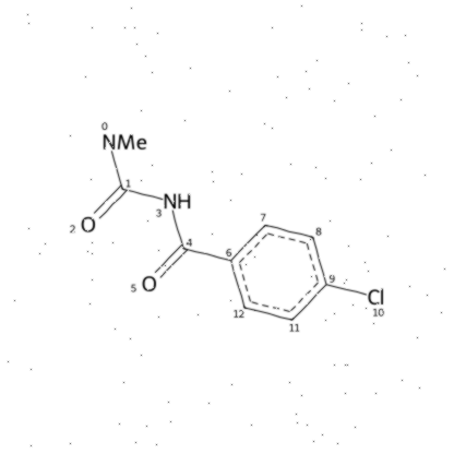 CNC(=O)NC(=O)c1ccc(Cl)cc1